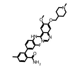 COc1cc2c(Nc3ccc(-c4cc(C)ccc4C(N)=O)cc3F)ncnc2cc1OCC1CCN(C)CC1